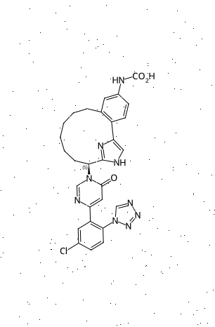 O=C(O)Nc1ccc2c(c1)CCCCCC[C@H](n1cnc(-c3cc(Cl)ccc3-n3cnnn3)cc1=O)c1nc-2c[nH]1